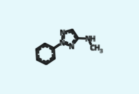 CNc1cnn(-c2ccccc2)n1